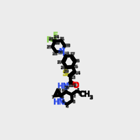 CCC1CCNC2(CC2)C1NC(=O)c1cc2ccc(N3CCC(F)(F)CC3)cc2s1